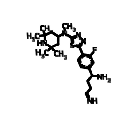 CN(c1nnc(-c2ccc(C(N)CCC=N)cc2F)s1)C1CC(C)(C)NC(C)(C)C1